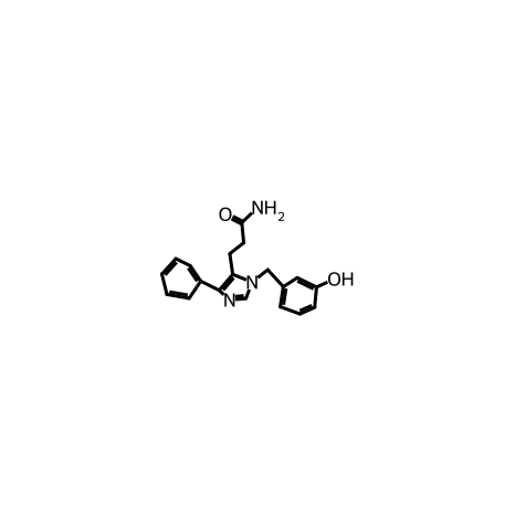 NC(=O)CCc1c(-c2ccccc2)ncn1Cc1cccc(O)c1